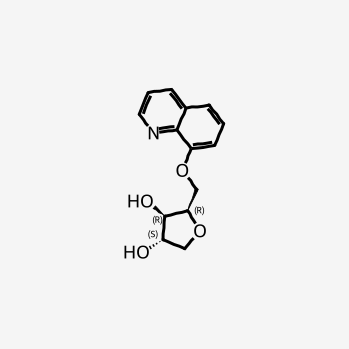 O[C@@H]1[C@@H](O)CO[C@@H]1COc1cccc2cccnc12